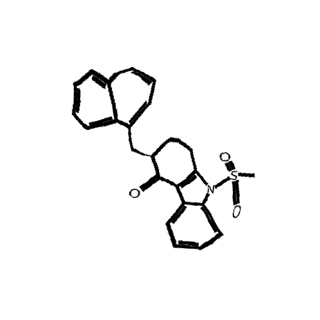 CS(=O)(=O)n1c2c(c3ccccc31)C(=O)[C@@H](Cc1cccc3ccccc13)CC2